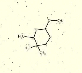 COC1CCC(C)(C)C(C)C1